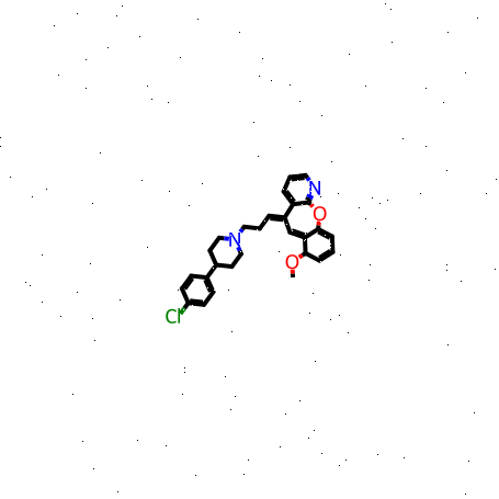 COC1C=CC=C2Oc3ncccc3C(=CCCN3CCC(c4ccc(Cl)cc4)CC3)C=C21